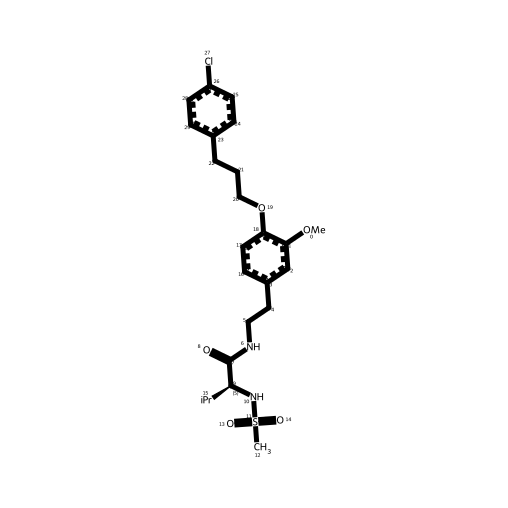 COc1cc(CCNC(=O)[C@@H](NS(C)(=O)=O)C(C)C)ccc1OCCCc1ccc(Cl)cc1